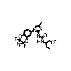 CCC(COC)NC(=O)N=c1sc(C)cn1-c1ccc2c(c1)OC(F)(F)C(F)(F)O2